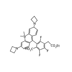 CCOC(=O)Cc1c(F)c(F)c(C(=O)O)c(C2=C3C=CC(N4CCC4)C=C3[Si](C)(C)c3cc(N4CCC4)ccc32)c1F